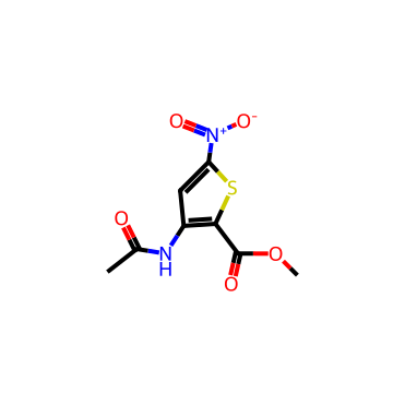 COC(=O)c1sc([N+](=O)[O-])cc1NC(C)=O